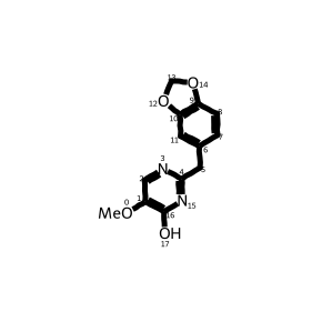 COc1cnc(Cc2ccc3c(c2)OCO3)nc1O